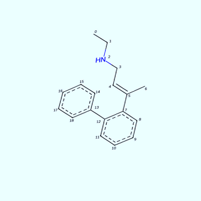 CCNCC=C(C)c1ccccc1-c1ccccc1